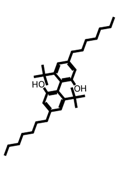 CCCCCCCc1cc(O)c(-c2c(O)cc(CCCCCCC)cc2C(C)(C)C)c(C(C)(C)C)c1